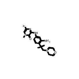 Cn1cc(Br)nc(Nc2ccc(C(C)(C)CN3CCOCC3)c(N)c2)c1=O